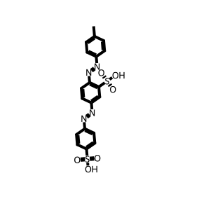 Cc1ccc(/N=N/c2ccc(/N=N/c3ccc(S(=O)(=O)O)cc3)cc2S(=O)(=O)O)cc1